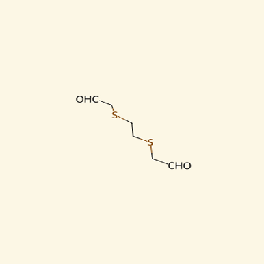 O=CCSCCSCC=O